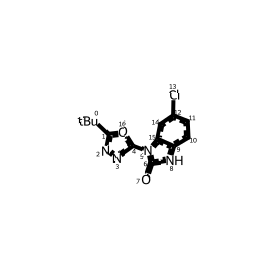 CC(C)(C)c1nnc(-n2c(=O)[nH]c3ccc(Cl)cc32)o1